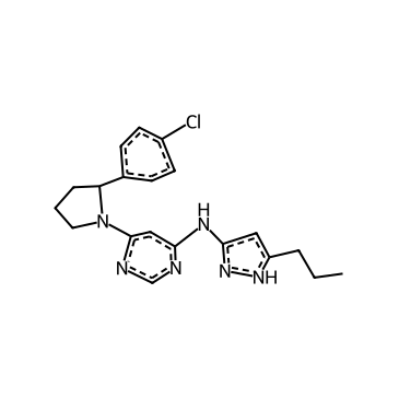 CCCc1cc(Nc2cc(N3CCCC3c3ccc(Cl)cc3)ncn2)n[nH]1